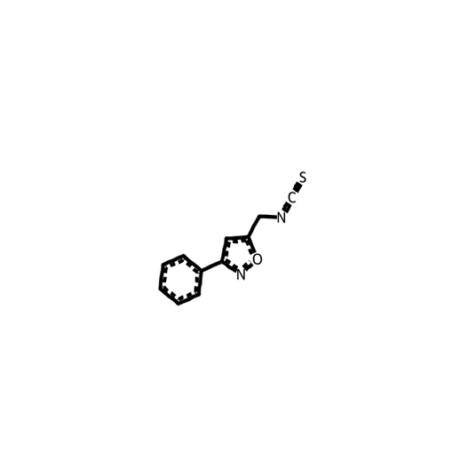 S=C=NCc1cc(-c2ccccc2)no1